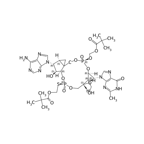 Cc1nc2c(ncn2[C@@H]2O[C@@H]3CO[P@@](=O)(SCOC(=O)C(C)(C)C)O[C@H]4[C@@H](O)[C@H](n5cnc6c(N)ncnc65)[C@H]5CC54CO[P@@](=O)(OCOC(=O)C(C)(C)C)O[C@@H]2[C@@H]3CO)c(=O)[nH]1